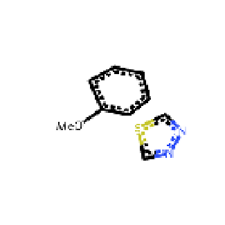 COc1ccccc1.c1nncs1